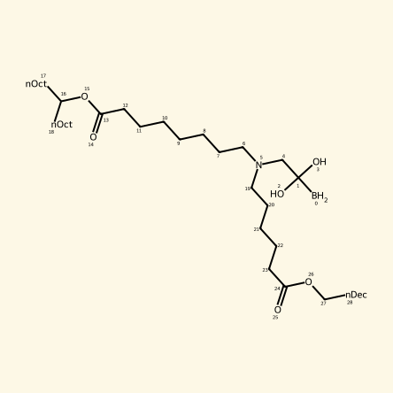 BC(O)(O)CN(CCCCCCCC(=O)OC(CCCCCCCC)CCCCCCCC)CCCCCC(=O)OCCCCCCCCCCC